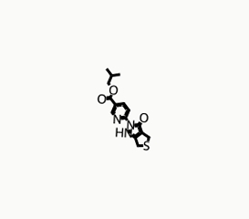 CC(C)COC(=O)c1ccc(-n2[nH]c3c(c2=O)CSC3)nc1